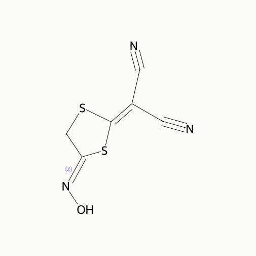 N#CC(C#N)=C1SC/C(=N/O)S1